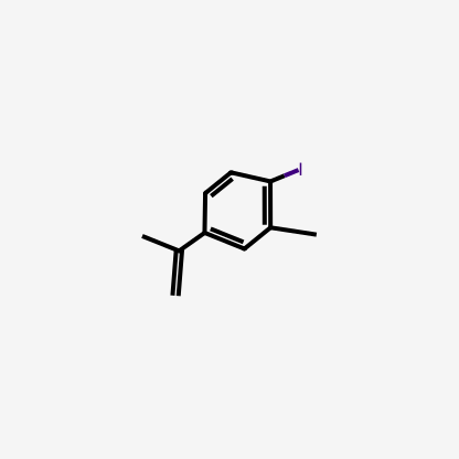 C=C(C)c1ccc(I)c(C)c1